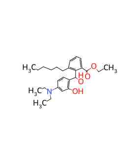 CCCCCCc1cccc(C(=O)OCC)c1C(O)c1ccc(N(CC)CC)cc1O